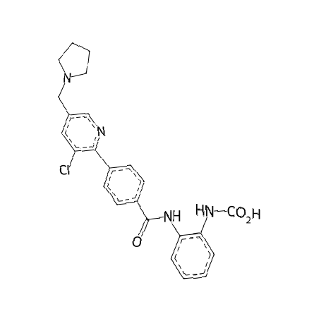 O=C(O)Nc1ccccc1NC(=O)c1ccc(-c2ncc(CN3CCCC3)cc2Cl)cc1